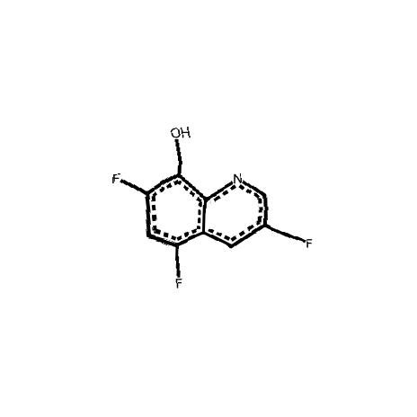 Oc1c(F)cc(F)c2cc(F)cnc12